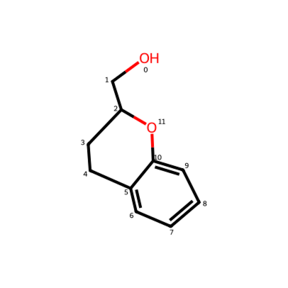 OCC1CCc2ccccc2O1